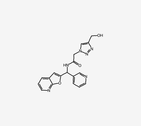 O=C(Cn1cc(CO)nn1)NC(c1cccnc1)c1cc2cccnc2o1